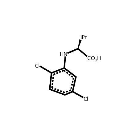 CC(C)[C@H](Nc1cc(Cl)ccc1Cl)C(=O)O